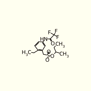 CCc1ccc(NC(=O)C(F)(F)F)cc1CS(=O)(=O)OC(C)CC